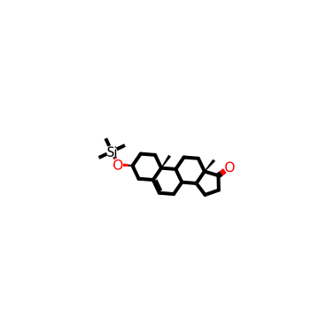 C[C@]12CC[C@H](O[Si](C)(C)C)CC1=CCC1C2CC[C@]2(C)C(=O)CCC12